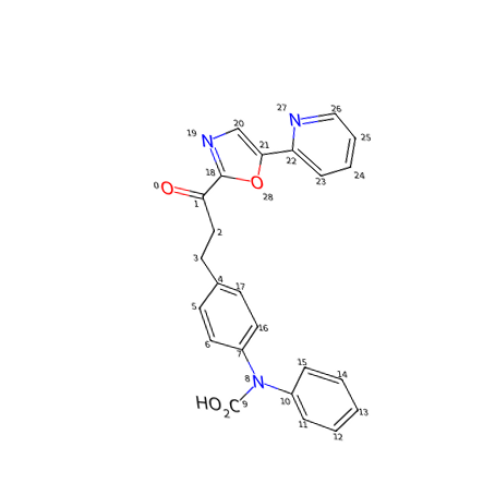 O=C(CCc1ccc(N(C(=O)O)c2ccccc2)cc1)c1ncc(-c2ccccn2)o1